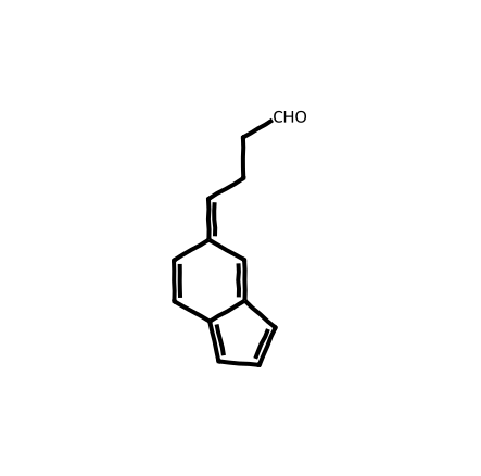 O=CCCC=c1ccc2c(c1)C=CC=2